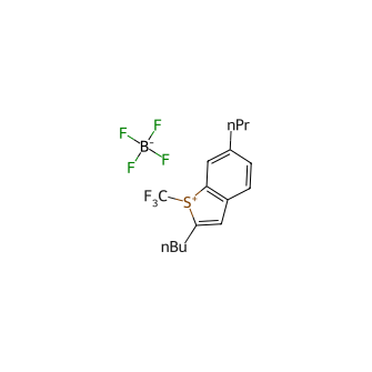 CCCCc1cc2ccc(CCC)cc2[s+]1C(F)(F)F.F[B-](F)(F)F